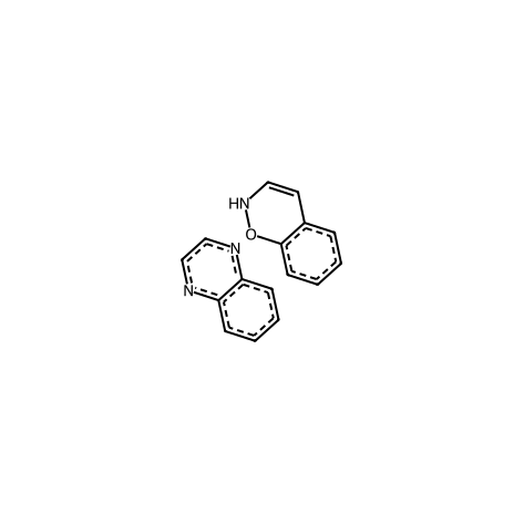 C1=Cc2ccccc2ON1.c1ccc2nccnc2c1